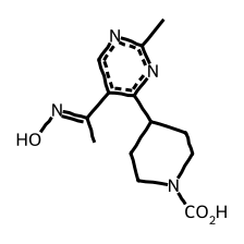 C/C(=N\O)c1cnc(C)nc1C1CCN(C(=O)O)CC1